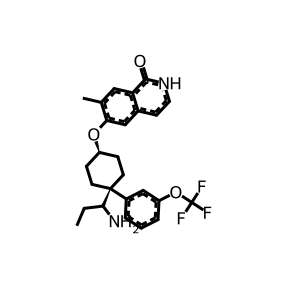 CCC(N)[C@]1(c2cccc(OC(F)(F)F)c2)CC[C@H](Oc2cc3cc[nH]c(=O)c3cc2C)CC1